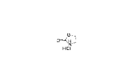 Cl.O=C1NCCO1